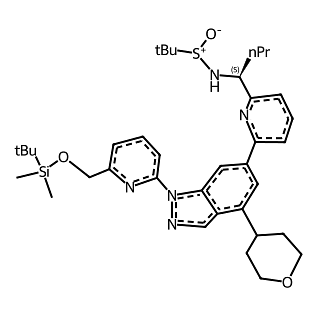 CCC[C@H](N[S+]([O-])C(C)(C)C)c1cccc(-c2cc(C3CCOCC3)c3cnn(-c4cccc(CO[Si](C)(C)C(C)(C)C)n4)c3c2)n1